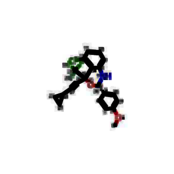 COc1ccc([C@H]2Nc3cccc(Cl)c3C(C#CC3CC3)(C(F)(F)F)O2)cc1